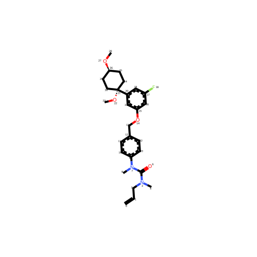 C=CCN(C)C(=O)N(C)c1ccc(COc2cc(F)cc([C@]3(OC)CC[C@H](OC)CC3)c2)cc1